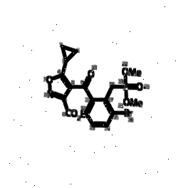 CCOC(=O)c1noc(C2CC2)c1C(=O)c1cccc(Br)c1CP(=O)(OC)OC